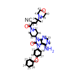 CC(C)(C=C(C#N)C(=O)N1CCC(n2c(=O)n(-c3ccc(Oc4ccccc4)cc3)c3c(N)ncnc32)CC1)N1CCOCC1